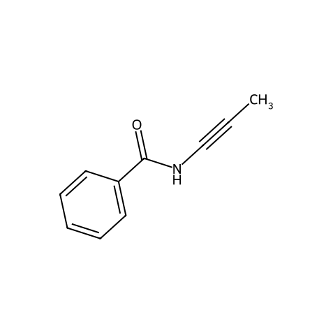 CC#CNC(=O)c1ccccc1